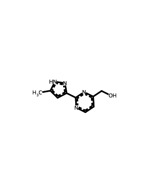 Cc1cc(-c2nccc(CO)n2)n[nH]1